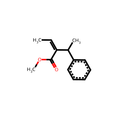 CC=C(C(=O)OC)C(C)c1ccccc1